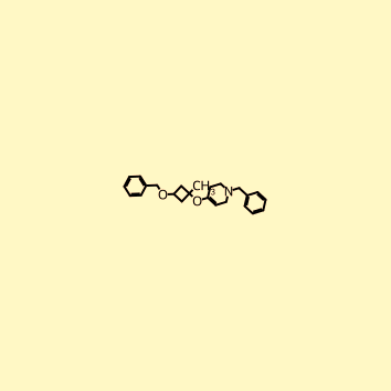 CC1(OC2=CCN(Cc3ccccc3)CC2)CC(OCc2ccccc2)C1